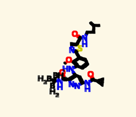 BC(B)(B)NC(=O)c1nnc(NC(=O)C2CC2)cc1Nc1cccc(-c2ncc(C(=O)NCCC(C)C)s2)c1OC